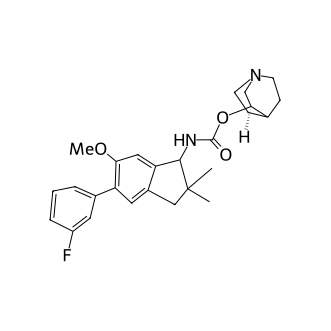 COc1cc2c(cc1-c1cccc(F)c1)CC(C)(C)C2NC(=O)O[C@H]1CN2CCC1CC2